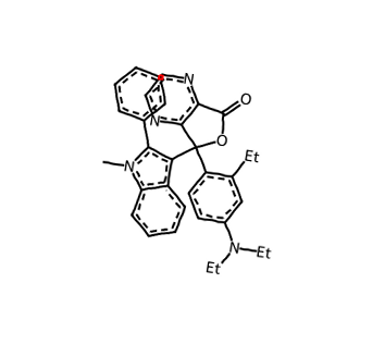 CCc1cc(N(CC)CC)ccc1C1(c2c(-c3ccccc3)n(C)c3ccccc23)OC(=O)c2nccnc21